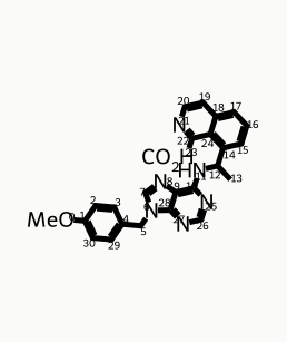 COc1ccc(Cn2cnc3c(NC(C)c4cccc5ccnc(C(=O)O)c45)ncnc32)cc1